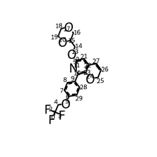 FC(F)(F)COc1ccc(-c2nc(OCC3COCCO3)cc3c2OCC=C3)cc1